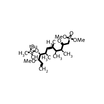 C=C[C@H](OC)[C@@H](O[Si](C)(C)C(C)(C)C)[C@H](C)/C=C(/C)[C@H](C)[C@H](C)C(=O)CP(=O)(OC)OC